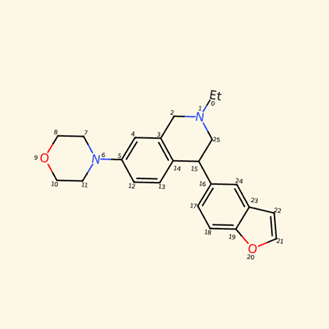 CCN1Cc2cc(N3CCOCC3)ccc2C(c2ccc3occc3c2)C1